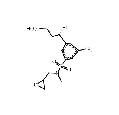 CC[C@@H](CCC(=O)O)c1cc(C(F)(F)F)cc(S(=O)(=O)N(C)CC2CO2)c1